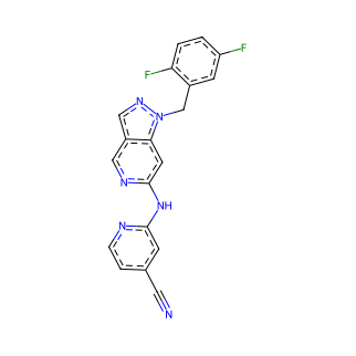 N#Cc1ccnc(Nc2cc3c(cn2)cnn3Cc2cc(F)ccc2F)c1